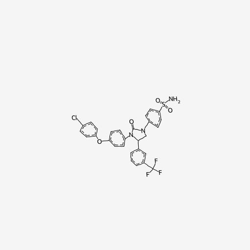 NS(=O)(=O)c1ccc(N2CC(c3cccc(C(F)(F)F)c3)N(c3ccc(Oc4ccc(Cl)cc4)cc3)C2=O)cc1